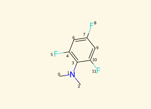 CN(C)c1c(F)cc(F)cc1F